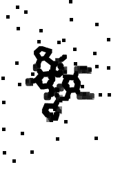 COc1ccc(CN(c2ccncn2)S(=O)(=O)c2ccc(OC3CCCC3c3ccnn3C)c(Cl)c2)c(OC)c1